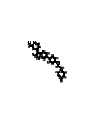 C=C/C=C(\C=C/N)c1c(C)nn2cc(-c3ccc(OCCN4CCN(C)CC4)cc3)cnc12